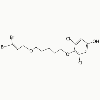 Oc1cc(Cl)c(OCCCCCOCC=C(Br)Br)c(Cl)c1